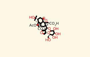 CC(=O)O[C@H](CC(=O)O)[C@]1(C)[C@H]2CC[C@@](C)([C@@H](O[C@@H]3O[C@H](CO)[C@@H](O)[C@H](O)[C@H]3O)c3ccoc3)[C@@]3(O[C@@H]3C(=O)O)[C@]2(C)C(=O)C[C@H]1C(C)(C)O